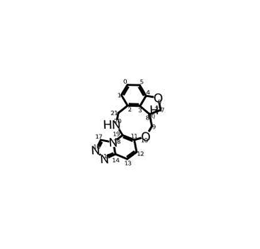 c1cc2c3c(c1)OC[C@@H]3COc1ccc3nncn3c1NC2